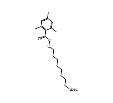 [CH2]CCCCCCCCCCCCCCCCCOOC(=O)c1c(C)cc(C)cc1C